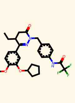 CCC1CC(=O)N(Cc2ccc(NC(=O)C(F)(F)F)cc2)N=C1c1ccc(OC)c(OC2CCCC2)c1